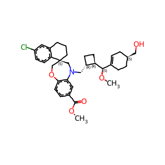 COC(=O)c1ccc2c(c1)N(C[C@@H]1CC[C@H]1[C@H](OC)C1=CC[C@@H](CO)CC1)C[C@@]1(CCCc3cc(Cl)ccc31)CO2